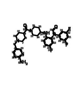 Nc1ncc(CN2CCC(C(=O)N3CCC(Nc4ccc(F)cc4N(C=O)c4cc(F)cc(F)c4)CC3)CC2)cn1